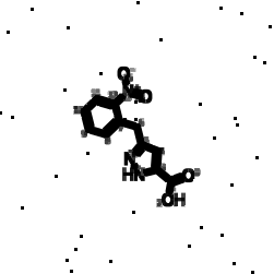 O=C(O)c1cc(Cc2ccccc2[N+](=O)[O-])n[nH]1